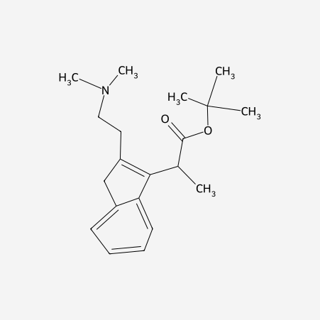 CC(C(=O)OC(C)(C)C)C1=C(CCN(C)C)Cc2ccccc21